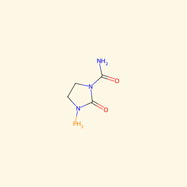 NC(=O)N1CCN(P)C1=O